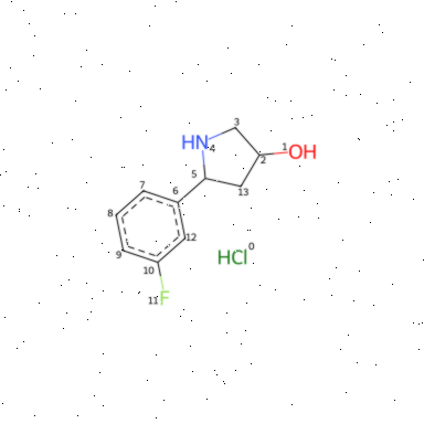 Cl.OC1CNC(c2cccc(F)c2)C1